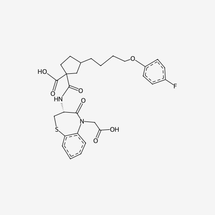 O=C(O)CN1C(=O)[C@@H](NC(=O)C2(C(=O)O)CCC(CCCCOc3ccc(F)cc3)C2)CSc2ccccc21